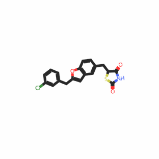 O=C1NC(=O)C(Cc2ccc3oc(Cc4cccc(Cl)c4)cc3c2)S1